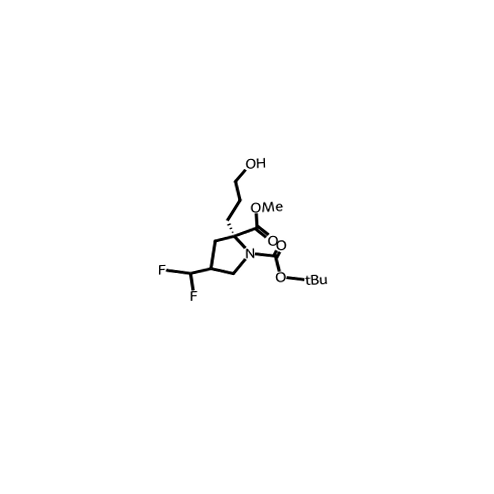 COC(=O)[C@]1(CCCO)CC(C(F)F)CN1C(=O)OC(C)(C)C